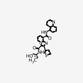 CC[C@@H](CO)NC(=O)c1c(-c2ccsc2)nc2c(C(=O)Nc3cccc4ncccc34)cccn12